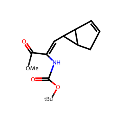 COC(=O)/C(=C/C1C2C=CCC21)NC(=O)OC(C)(C)C